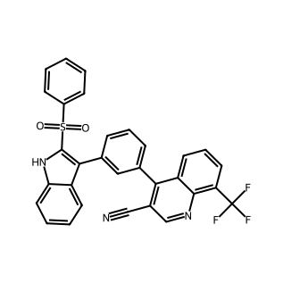 N#Cc1cnc2c(C(F)(F)F)cccc2c1-c1cccc(-c2c(S(=O)(=O)c3ccccc3)[nH]c3ccccc23)c1